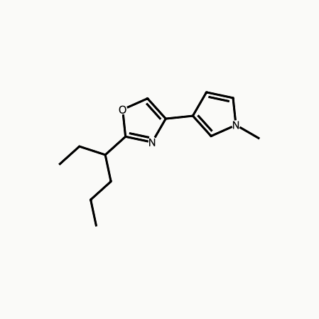 CCCC(CC)c1nc(-c2ccn(C)c2)co1